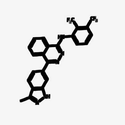 Cc1n[nH]c2cc(-c3nnc(Nc4cccc(C(F)(F)F)c4C(F)(F)F)c4ccccc34)ccc12